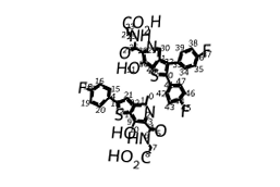 Cc1nc(C(=O)NCC(=O)O)c(O)c2sc(-c3ccc(F)cc3)cc12.O=C(O)CNC(=O)c1ncc2c(-c3ccc(F)cc3)c(-c3ccc(F)cc3)sc2c1O